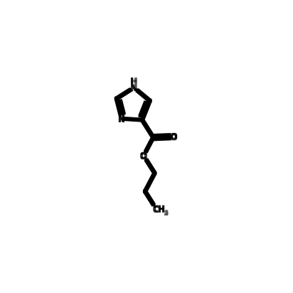 CCCOC(=O)c1c[nH]cn1